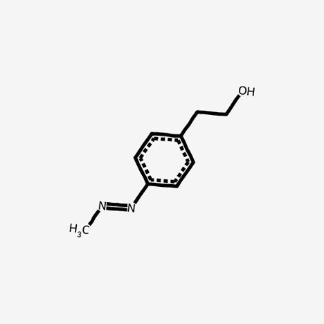 C/N=N/c1ccc(CCO)cc1